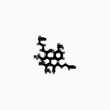 COCCOC(=O)C1=C(C)NC(N)=C(C(=O)OCCOC)C1c1cccc([N+](=O)[O-])c1